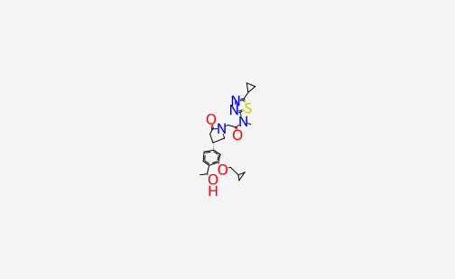 CC(O)c1ccc([C@@H]2CC(=O)N(CC(=O)N(C)c3nnc(C4CC4)s3)C2)cc1OCC1CC1